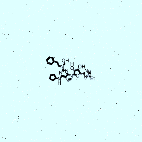 CCn1nnc([C@H]2O[C@@H](n3cnc4c(NC5CCCC5)nc(N(CO)CCc5ccccc5)nc43)[C@H](O)[C@@H]2O)n1